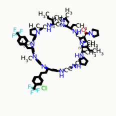 CCC1NCC2[C@@H](C(=O)N3CCCC3)C(C)N2[C@@H]([C@@H](C)CC)C(C)NC2(CCCC2)CNCCNC=CC(CCc2ccc(C(F)(F)F)c(Cl)c2)=NC=CN(C)C=C(Cc2ccc(C(F)(F)F)cc2)N(C)C=C2CCCN2[C@@H](C)CN[C@@H]([C@@H](C)CC)CN[C@H]1CC(C)C